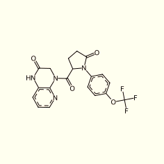 O=C1CN(C(=O)C2CCC(=O)N2c2ccc(OC(F)(F)F)cc2)c2ncccc2N1